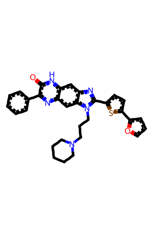 O=c1[nH]c2cc3nc(-c4ccc(-c5ccco5)s4)n(CCCN4CCCCC4)c3cc2nc1-c1ccccc1